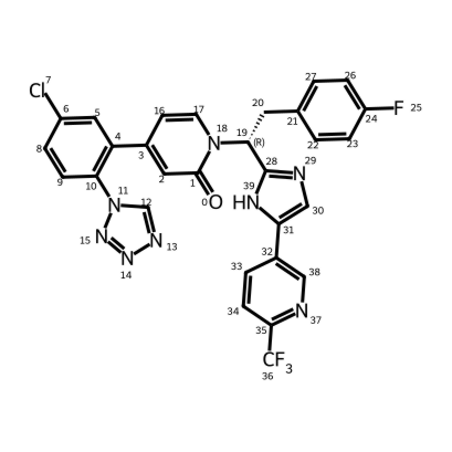 O=c1cc(-c2cc(Cl)ccc2-n2cnnn2)ccn1[C@H](Cc1ccc(F)cc1)c1ncc(-c2ccc(C(F)(F)F)nc2)[nH]1